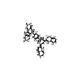 c1ccc2cc(-c3cc(-c4ccc5ccccc5c4)nc(-c4ccc(-c5nc6ccccc6c6nc7ccccn7c56)cc4)n3)ccc2c1